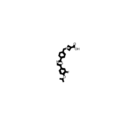 CC(C)Oc1ccc(-c2cnc(C3=CC=C(CN4CC(C(=O)O)C4)CC3)s2)cc1F